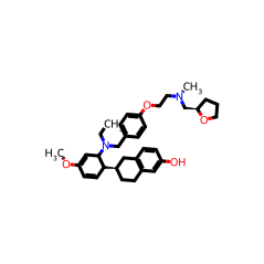 CCN(Cc1ccc(OCCN(C)C[C@H]2CCCO2)cc1)C1C=C(OC)C=CC1[C@@H]1CCc2cc(O)ccc2C1